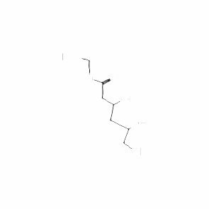 CCOC(=O)CC(O)CC(O)CCl